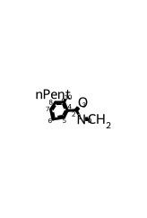 C=NC(=O)c1ccccc1CCCCC